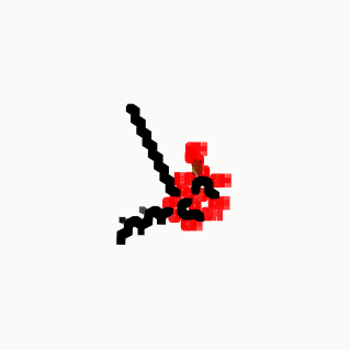 CCCCCCCCCCCCCCCC(=O)OC1C(OC2OC(CO)C(O)C(OSOOO)C2O)OC(CO)C(O)C1OC(=O)/C(C)=C/[C@@H](C)C[C@@H](C)C[C@@H](C)CCC